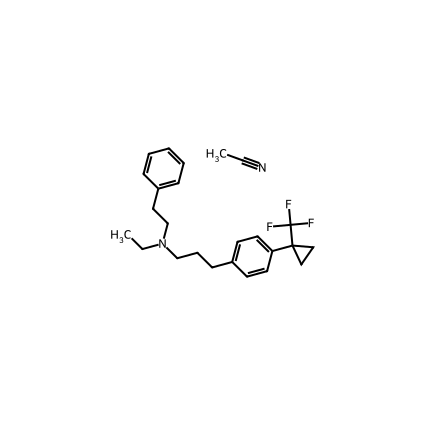 CC#N.CCN(CCCc1ccc(C2(C(F)(F)F)CC2)cc1)CCc1ccccc1